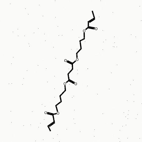 CC=CC(=O)OCCCCOC(=O)CCC(=O)OCCCCOC(=O)C=CC